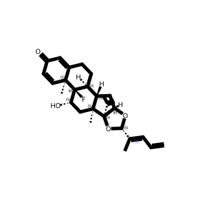 C=C/C=C(\C)[C@H]1O[C@@H]2C[C@H]3[C@@H]4CCC5=CC(=O)C=C[C@]5(C)[C@@]4(F)[C@@H](O)C[C@]3(C)[C@]2(C(=C)C)O1